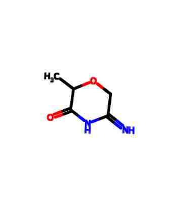 CC1OCC(=N)NC1=O